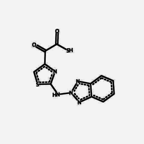 O=C(S)C(=O)c1csc(Nn2nc3ccccc3n2)n1